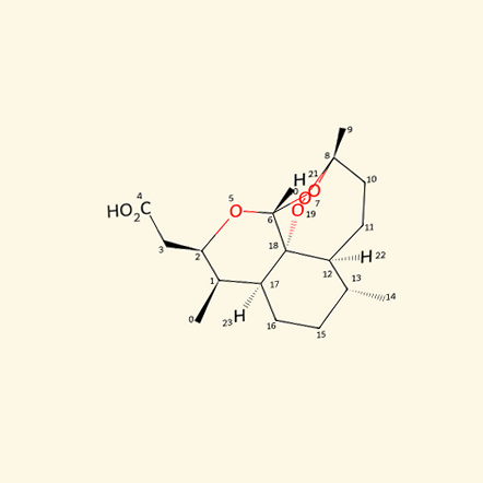 C[C@H]1[C@@H](CC(=O)O)O[C@@H]2O[C@@]3(C)CC[C@H]4[C@H](C)CC[C@@H]1[C@@]24OO3